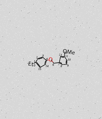 C[CH]c1ccc(OCc2cccc(OC)c2)cc1